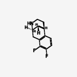 Fc1ccc2c(c1F)C[C@H]1NCC[C@@]23CCCC[C@@H]13